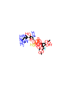 CN[C@H]1[C@@H](O)[C@H](c2c[nH]c3c(N)ncnc23)O[C@@H]1COP(=O)(S)OP(=O)(O)OC1OC2(OC(C)=O)C1C(OC(C)=O)C(O)C2[C@@H](F)COC(C)=O